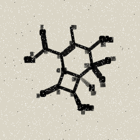 CO[C@H]1C(=O)N2C(C(=O)C(C)(C)C)=C(C)C(OC(C)=O)S(=O)(=O)[C@@H]12